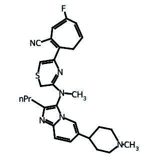 CCCc1nc2ccc(C3CCN(C)CC3)cn2c1N(C)C1=NC(C2=C(C#N)C=C(F)C=CC2)=CSC1